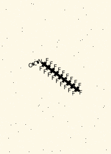 O=C=NC(F)(F)C(F)(F)C(F)(F)C(F)(F)C(F)(F)C(F)(F)C(F)(F)C(F)(F)C(F)(F)F